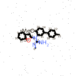 CN=C(N)N(c1cc2ccccc2o1)c1cc(-c2ccc(C)cc2)ccc1OC